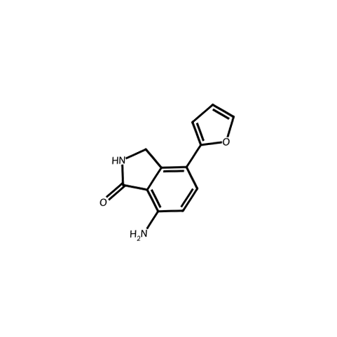 Nc1ccc(-c2ccco2)c2c1C(=O)NC2